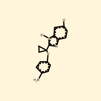 CCn1c(C2(Oc3ccc(N)cc3)CC2)nc2ccc(Cl)cc21